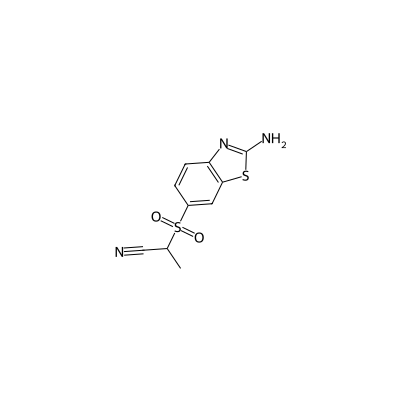 CC(C#N)S(=O)(=O)c1ccc2nc(N)sc2c1